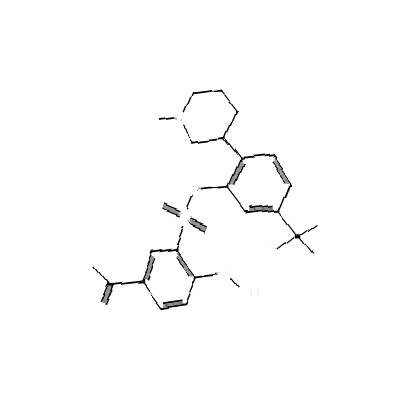 COc1ccc(C(=O)O)cc1S(=O)(=O)Nc1cc(C(F)(F)F)ccc1C1CCCN(C)C1